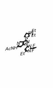 CCc1cc(-n2nc(N3CC[C@](C)(N(CC)CC)C3)c3cnc(NC(C)=O)cc32)nc(C(C)(F)F)n1